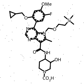 COc1cc(OCC2CC2)c(-c2ncnc3c(C(=O)NC4CCN(C(=O)O)CC4O)c(C)n(COCC[Si](C)(C)C)c23)cc1F